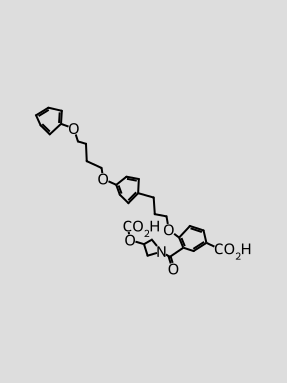 O=C(O)OC1CN(C(=O)c2cc(C(=O)O)ccc2OCCCc2ccc(OCCCCOc3ccccc3)cc2)C1